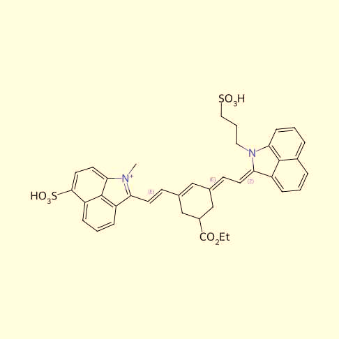 CCOC(=O)C1CC(/C=C/C2=[N+](C)c3ccc(S(=O)(=O)O)c4cccc2c34)=CC(=C/C=c2/c3cccc4cccc(c43)n2CCCS(=O)(=O)O)/C1